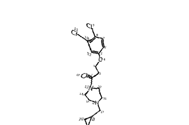 O=C(CCOc1ccc(Cl)c(Cl)c1)N1CCN(CC2CC2)CC1